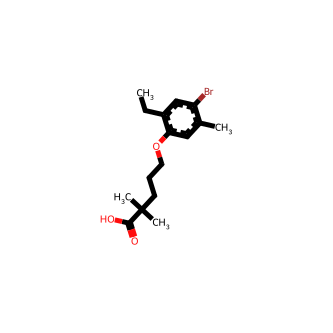 CCc1cc(Br)c(C)cc1OCCCC(C)(C)C(=O)O